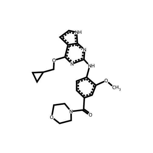 COc1cc(C(=O)N2CCOCC2)ccc1Nc1nc(OCC2CC2)c2cc[nH]c2n1